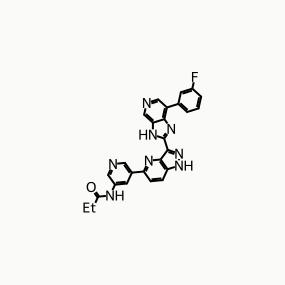 CCC(=O)Nc1cncc(-c2ccc3[nH]nc(-c4nc5c(-c6cccc(F)c6)cncc5[nH]4)c3n2)c1